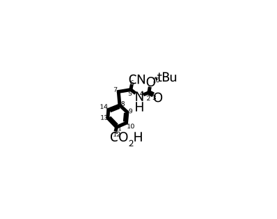 CC(C)(C)OC(=O)NC(C#N)Cc1ccc(C(=O)O)cc1